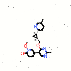 COn1cc(-c2cnc(C)nc2OC[C@H]2C[C@@H]2c2ccc(C)cn2)ccc1=O